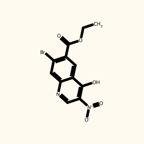 CCOC(=O)c1cc2c(O)c([N+](=O)[O-])cnc2cc1Br